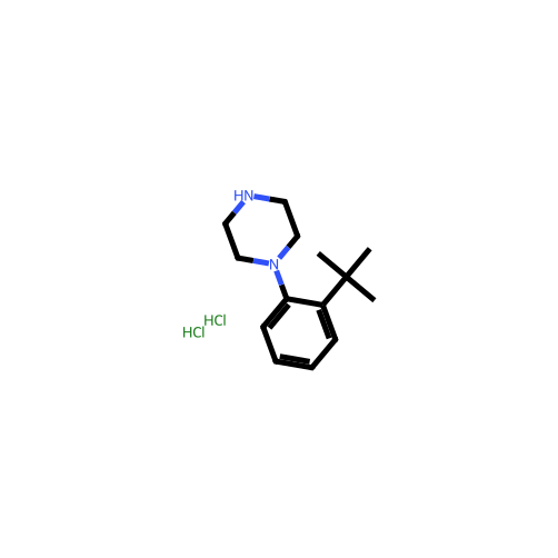 CC(C)(C)c1ccccc1N1CCNCC1.Cl.Cl